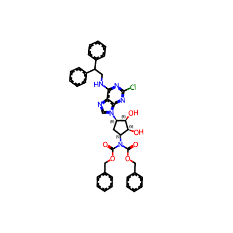 O=C(OCc1ccccc1)N(C(=O)OCc1ccccc1)[C@H]1C[C@@H](n2cnc3c(NCC(c4ccccc4)c4ccccc4)nc(Cl)nc32)[C@@H](O)[C@H]1O